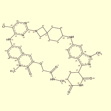 CNC(=O)COc1cc2cc(Nc3nc(N4CC5(CCC(Nc6ccc7c(C8CCC(=O)NC8=O)nn(C)c7c6)CC5)C4)ncc3Cl)ccc2n(C)c1=O